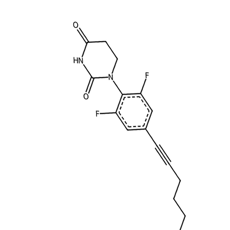 O=C1CCN(c2c(F)cc(C#CCCCO)cc2F)C(=O)N1